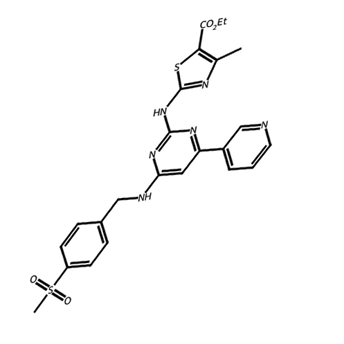 CCOC(=O)c1sc(Nc2nc(NCc3ccc(S(C)(=O)=O)cc3)cc(-c3cccnc3)n2)nc1C